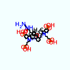 CC1(C)C(/C=C/C2=C(Oc3ccc(CCC(=O)NCCN)cc3)C(=C/C=C3/N(CCCCS(=O)(=O)O)c4ccc(S(=O)(=O)O)cc4C3(C)C)/CCC2)=[N+](CCCCS(=O)(=O)O)c2ccc(S(=O)(=O)O)cc21